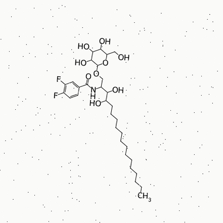 CCCCCCCCCCCCCCC(O)C(O)C(COC1OC(CO)C(O)C(O)C1O)NC(=O)c1ccc(F)c(F)c1